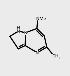 CNC1=CC(C)=NC2=CCNN21